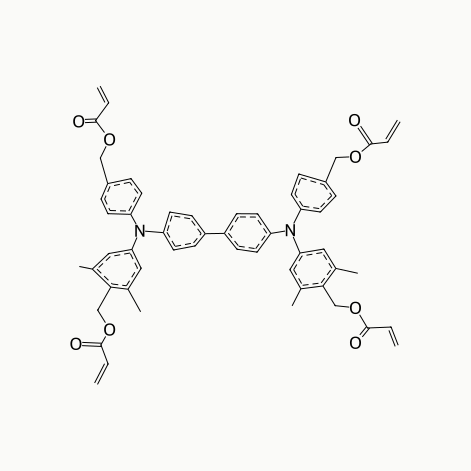 C=CC(=O)OCc1ccc(N(c2ccc(-c3ccc(N(c4ccc(COC(=O)C=C)cc4)c4cc(C)c(COC(=O)C=C)c(C)c4)cc3)cc2)c2cc(C)c(COC(=O)C=C)c(C)c2)cc1